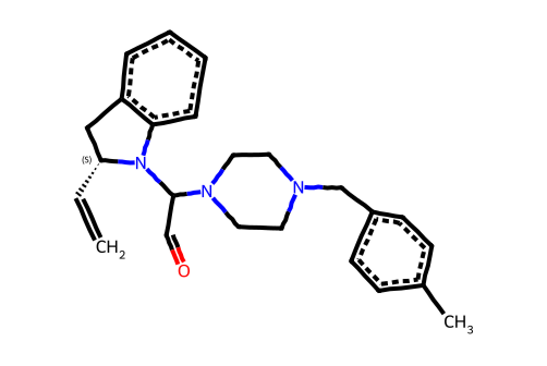 C=C[C@@H]1Cc2ccccc2N1C(C=O)N1CCN(Cc2ccc(C)cc2)CC1